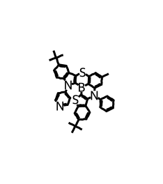 Cc1cc2c3c(c1)N(c1ccccc1)c1c(sc4cc(C(C)(C)C)ccc14)B3c1c(c3cc(C(C)(C)C)ccc3n1-c1ccncc1)S2